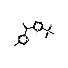 Cc1csc(C(=O)c2ccc(S(C)(=O)=O)[nH]2)c1